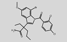 CCCC(CC)(C(N)=O)c1cn(C(=O)c2ccc(Cl)cc2Cl)c2c(Br)cc(OC)cc12